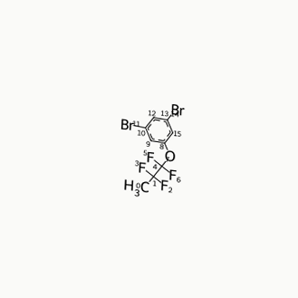 CC(F)(F)C(F)(F)Oc1cc(Br)cc(Br)c1